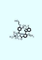 COc1cc(C(=O)N[C@@H](COC(C)(C)C)C(=O)c2ccc(OC)c(-c3csc4c(F)cccc34)n2)ccc1OCCO